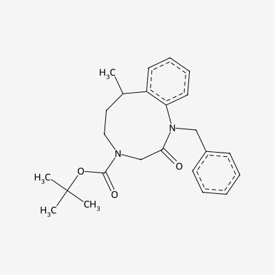 CC1CCN(C(=O)OC(C)(C)C)CC(=O)N(Cc2ccccc2)c2ccccc21